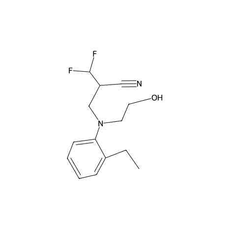 CCc1ccccc1N(CCO)CC(C#N)C(F)F